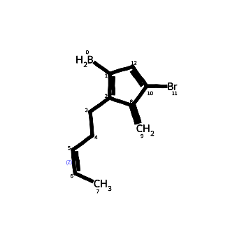 BC1=C(CC/C=C\C)C(=C)C(Br)=C1